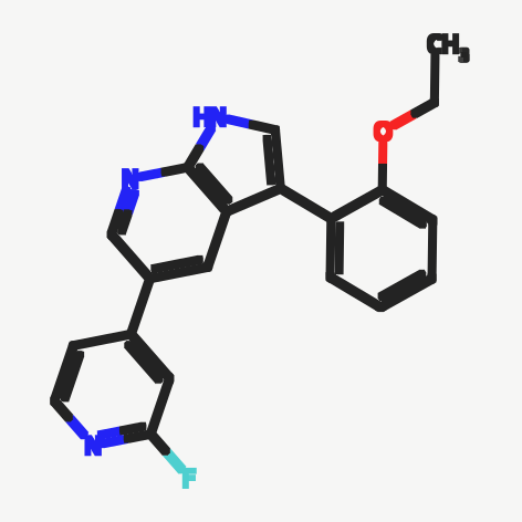 CCOc1ccccc1-c1c[nH]c2ncc(-c3ccnc(F)c3)cc12